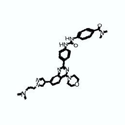 CN(C)CCN1CC(c2ccc3c(N4CCOCC4)nc(-c4ccc(NC(=O)Nc5ccc(C(=O)N(C)C)cc5)cc4)nc3c2)C=N1